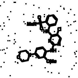 CNS(=O)(=O)c1ccccc1Nc1nc(Nc2ccc(N3CCOCC3)cc2OC)ncc1Cl